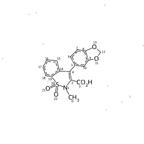 CN1C(C(=O)O)=C(c2ccc3c(c2)OCO3)c2ccccc2S1(=O)=O